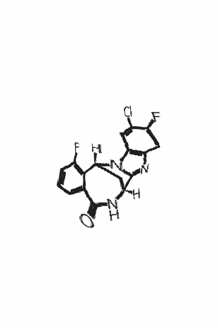 O=C1N[C@@H]2C[C@H](c3c(F)cccc31)n1c2nc2cc(F)c(Cl)cc21